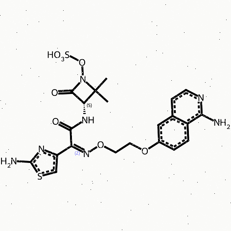 CC1(C)[C@H](NC(=O)/C(=N\OCCOc2ccc3c(N)nccc3c2)c2csc(N)n2)C(=O)N1OS(=O)(=O)O